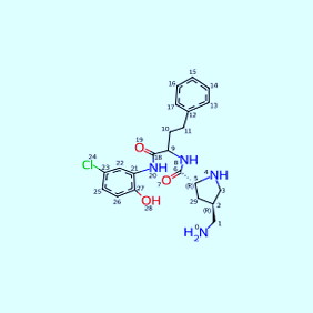 NC[C@@H]1CN[C@@H](C(=O)NC(CCc2ccccc2)C(=O)Nc2cc(Cl)ccc2O)C1